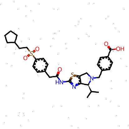 CC(C)[C@H]1c2nc(NC(=O)Cc3ccc(S(=O)(=O)CCC4CCCC4)cc3)sc2CN1Cc1ccc(C(=O)O)cc1